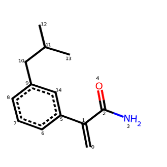 C=C(C(N)=O)c1cccc(CC(C)C)c1